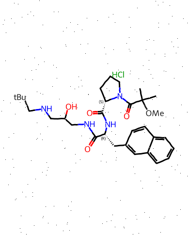 COC(C)(C)C(=O)N1CCC[C@H]1C(=O)N[C@H](Cc1ccc2ccccc2c1)C(=O)NCC(O)CNCC(C)(C)C.Cl